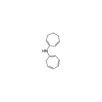 C1=CC=C(NC2=CCCCC=C2)CC=C1